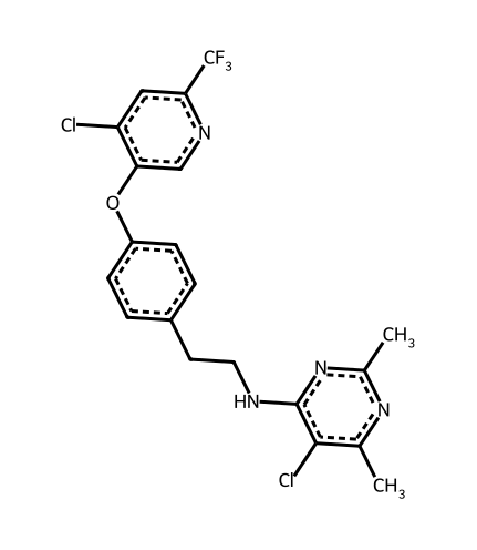 Cc1nc(C)c(Cl)c(NCCc2ccc(Oc3cnc(C(F)(F)F)cc3Cl)cc2)n1